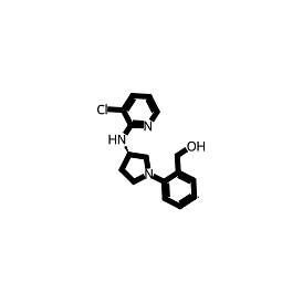 OCc1c[c]ccc1N1CC[C@H](Nc2ncccc2Cl)C1